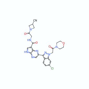 N#CC1CN(C(=O)CNC(=O)c2c[nH]c3ncc(-c4nn(CC(=O)N5CCOCC5)c5cc(Cl)ccc45)nc23)C1